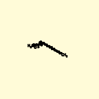 CCCCCCCCCCCCCCCCc1ccc(C(=S)CC(=O)OC)s1